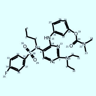 CCCN(c1cnc(N(CC)CC)nc1Nc1[c]c(OC(=O)N(C)C)ccc1)S(=O)(=O)c1ccc(F)cc1